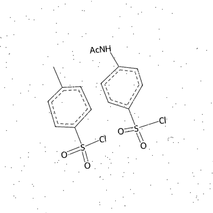 CC(=O)Nc1ccc(S(=O)(=O)Cl)cc1.Cc1ccc(S(=O)(=O)Cl)cc1